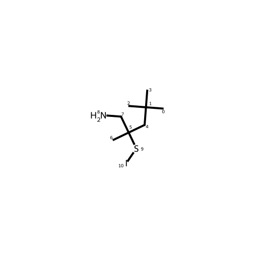 CC(C)(C)CC(C)(CN)SI